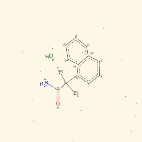 CCC(CC)(C(N)=O)c1cccc2ccccc12.Cl